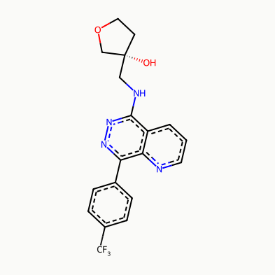 O[C@@]1(CNc2nnc(-c3ccc(C(F)(F)F)cc3)c3ncccc23)CCOC1